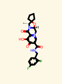 C[C@H]1N2C(=O)c3c(O)c(=O)c(C(=O)NCc4ccc(F)cc4F)cn3C[C@@H]2OC12CCCC2